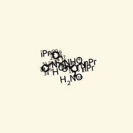 CCCN(CCC)C(=O)c1cc(C(N)=O)cc(C(=O)N[C@@H](Cc2ccc(C(C)C)cc2)[C@H](O)CNCc2ccccc2)c1